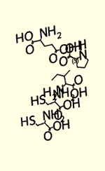 CCC(C)C(N)C(=O)O.NC(CCC(=O)O)C(=O)O.NC(CS)C(=O)O.NC(CS)C(=O)O.O=C(O)[C@@H]1CCCN1